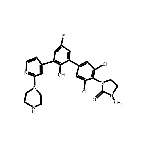 CN1CCN(c2c(Cl)cc(-c3cc(F)cc(-c4ccnc(N5CCNCC5)c4)c3O)cc2Cl)C1=O